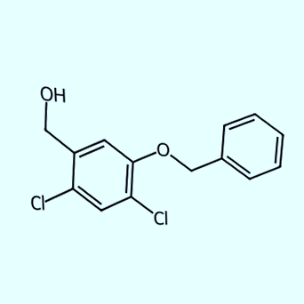 OCc1cc(OCc2ccccc2)c(Cl)cc1Cl